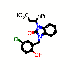 CCCC(CC(=O)O)n1c(=O)n(Cc2cc(Cl)ccc2O)c2ccccc21